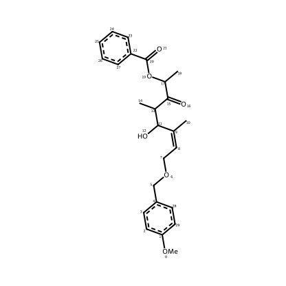 COc1ccc(COCC=C(C)C(O)C(C)C(=O)C(C)OC(=O)c2ccccc2)cc1